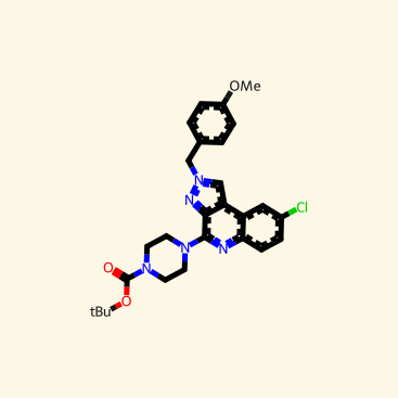 COc1ccc(Cn2cc3c(n2)c(N2CCN(C(=O)OC(C)(C)C)CC2)nc2ccc(Cl)cc23)cc1